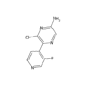 Nc1cnc(-c2ccncc2F)c(Cl)n1